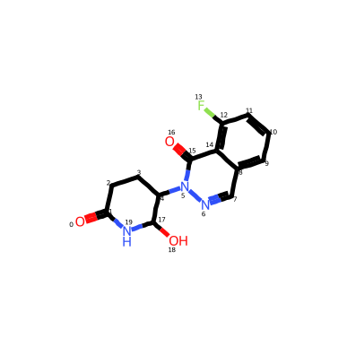 O=C1CCC(n2ncc3cccc(F)c3c2=O)C(O)N1